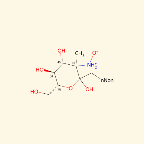 CCCCCCCCCCC1(O)O[C@H](CO)[C@@H](O)[C@H](O)[C@@]1(C)[NH2+][O-]